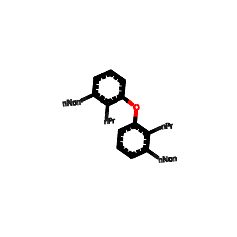 CCCCCCCCCc1cccc(Oc2cccc(CCCCCCCCC)c2CCC)c1CCC